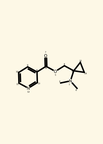 CN(C)C1(COC(=O)c2cccnc2)CC1